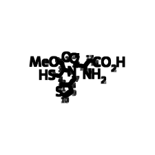 COC(=O)[C@H](CS)N(Cc1ccsc1)C(=O)[C@@H](N)CC(=O)O